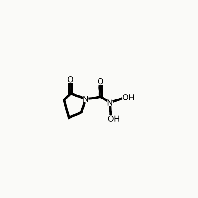 O=C1CCCN1C(=O)N(O)O